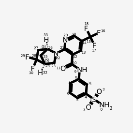 NS(=O)(=O)c1cccc(NC(=O)c2cc(C(F)(F)F)cnc2N2C[C@@H]3C[C@H]2CC3(F)F)c1